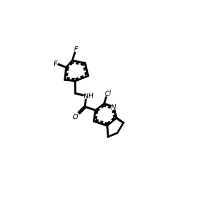 O=C(NCc1ccc(F)c(F)c1)c1cc2c(nc1Cl)CCC2